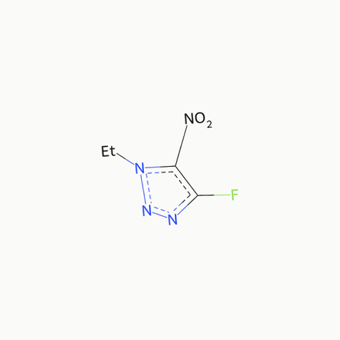 CCn1nnc(F)c1[N+](=O)[O-]